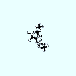 COC(=O)C(CS(=O)(=O)NC(C)(C)C)NC(=O)OC(C)(C)C